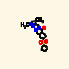 Cc1cn(C)nc1Cn1ncc2cc(S(=O)(=O)c3ccccc3)ccc2c1=O